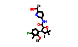 CCOc1c([C@@H]2[C@@H](C(=O)Nc3ccc([C@@H](O)CC)nc3)OC(C)(C)[C@@H]2C)ccc(F)c1C